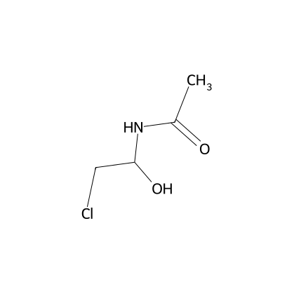 CC(=O)NC(O)CCl